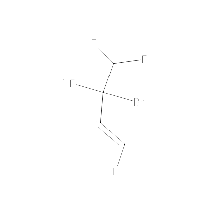 FC=CC(F)(Br)C(F)F